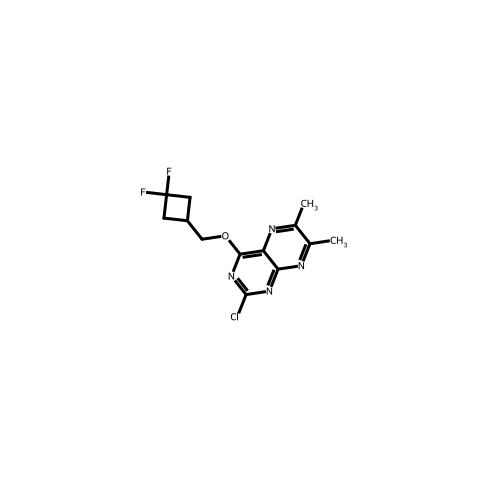 Cc1nc2nc(Cl)nc(OCC3CC(F)(F)C3)c2nc1C